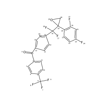 O=C(c1ccc(C(F)(F)F)cc1)c1ccc(C(F)(F)C2(c3ccc(F)cc3F)CO2)nc1